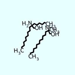 CCCCCCCCCCC(N)(CO)CCCCCC.CCCCCCCCCCCCC(C)(N)CO